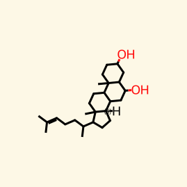 CC(C)=CCCC(C)C1CC[C@H]2C3CC(O)C4CC(O)CCC4(C)C3CCC12C